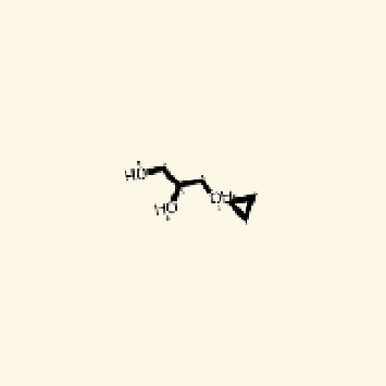 C1CC1.OCC(O)CO